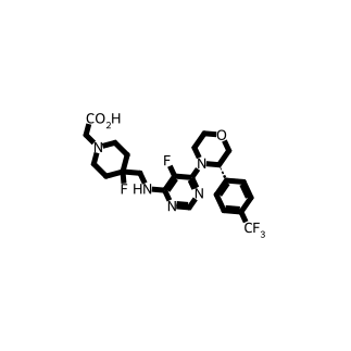 O=C(O)CN1CCC(F)(CNc2ncnc(N3CCOC[C@@H]3c3ccc(C(F)(F)F)cc3)c2F)CC1